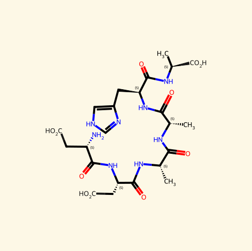 C[C@H](NC(=O)[C@H](Cc1c[nH]cn1)NC(=O)[C@H](C)NC(=O)[C@H](C)NC(=O)[C@H](CC(=O)O)NC(=O)[C@@H](N)CC(=O)O)C(=O)O